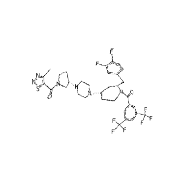 Cc1nnsc1C(=O)N1CC[C@H](N2CCN([C@H]3CCN(C(=O)c4cc(C(F)(F)F)cc(C(F)(F)F)c4)[C@H](Cc4ccc(F)c(F)c4)C3)CC2)C1